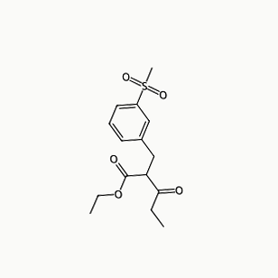 CCOC(=O)C(Cc1cccc(S(C)(=O)=O)c1)C(=O)CC